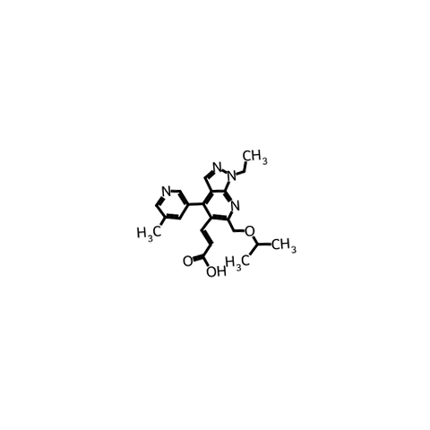 CCn1ncc2c(-c3cncc(C)c3)c(C=CC(=O)O)c(COC(C)C)nc21